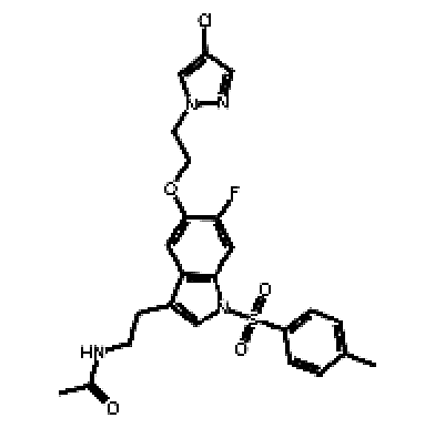 CC(=O)NCCc1cn(S(=O)(=O)c2ccc(C)cc2)c2cc(F)c(OCCn3cc(Cl)cn3)cc12